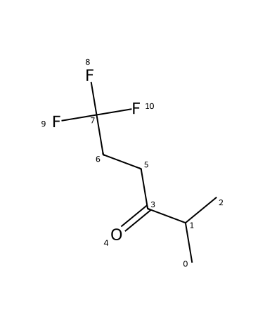 CC(C)C(=O)CCC(F)(F)F